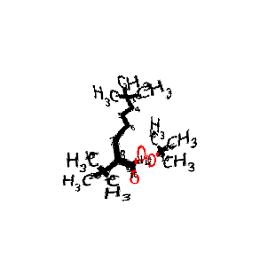 CC(C)(C)CCCCC(C(=O)OOC(C)(C)C)C(C)(C)C